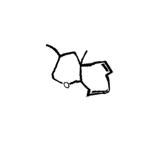 CC1COC2C=CC=CC2(C)C1